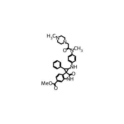 COC(=O)c1ccc2c(c1)NC(=O)C21C(Nc2ccc(N(C)C(=O)CN3CCN(C)CC3)cc2)C1c1ccccc1